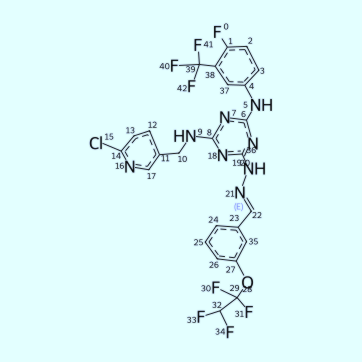 Fc1ccc(Nc2nc(NCc3ccc(Cl)nc3)nc(N/N=C/c3cccc(OC(F)(F)C(F)F)c3)n2)cc1C(F)(F)F